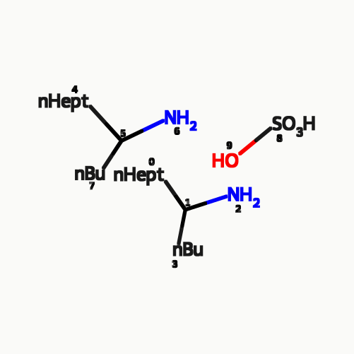 CCCCCCCC(N)CCCC.CCCCCCCC(N)CCCC.O=S(=O)(O)O